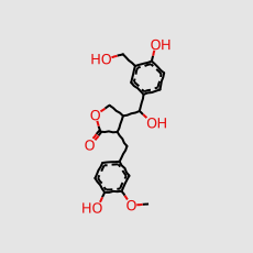 COc1cc(CC2C(=O)OCC2C(O)c2ccc(O)c(CO)c2)ccc1O